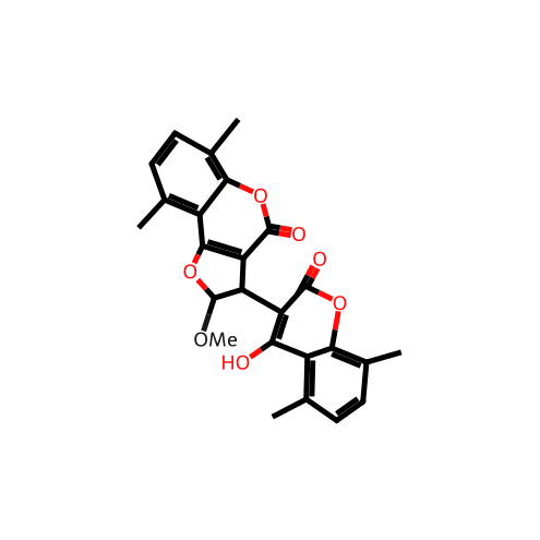 COC1Oc2c(c(=O)oc3c(C)ccc(C)c23)C1c1c(O)c2c(C)ccc(C)c2oc1=O